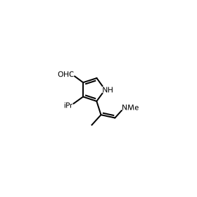 CN/C=C(/C)c1[nH]cc(C=O)c1C(C)C